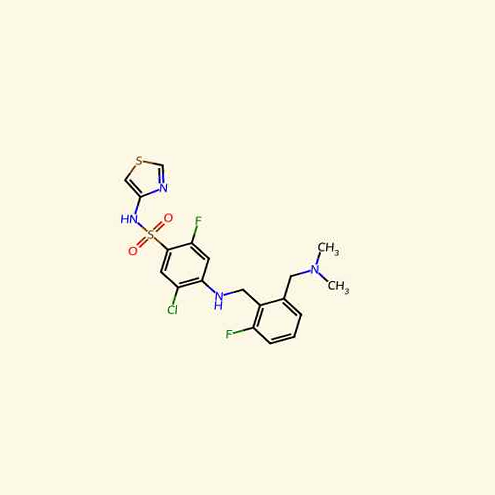 CN(C)Cc1cccc(F)c1CNc1cc(F)c(S(=O)(=O)Nc2cscn2)cc1Cl